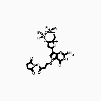 CC(C)[Si]1(C(C)C)OC[C@H]2O[C@@H](c3cn(SCCC(=O)ON4C(=O)CCC4=O)c4c(=O)[nH]c(N)nc34)CC2O[Si](C(C)C)(C(C)C)O1